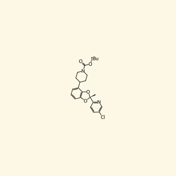 CC(C)(C)OC(=O)N1CCC(c2cccc3c2O[C@](C)(c2ccc(Cl)cn2)O3)CC1